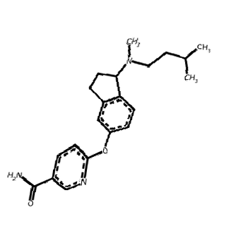 CC(C)CCN(C)C1CCc2cc(Oc3ccc(C(N)=O)cn3)ccc21